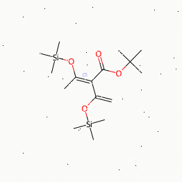 C=C(O[Si](C)(C)C)/C(C(=O)OC(C)(C)C)=C(\C)O[Si](C)(C)C